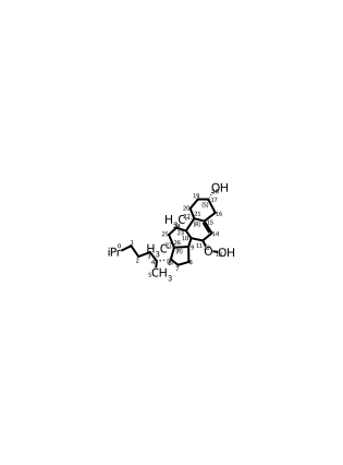 CC(C)CCCC(C)[C@H]1CCC2C3C(OO)C=C4C[C@@H](O)CC[C@]4(C)C3CC[C@@]21C